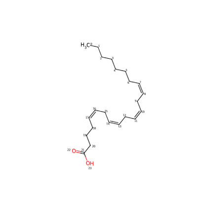 CCCCCCC/C=C\C/C=C\C/C=C\C/C=C\CCCC(=O)O